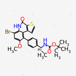 CC[C@@H](NC(=O)OC(C)(C)C)c1ccc(-c2c(OC)cc(Br)c3[nH]c(=O)c4sccc4c23)cc1